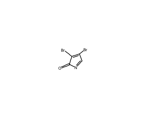 O=C1N=CC(Br)=C1Br